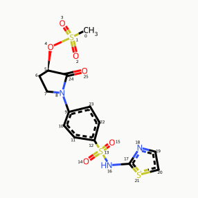 CS(=O)(=O)O[C@@H]1CCN(c2ccc(S(=O)(=O)Nc3nccs3)cc2)C1=O